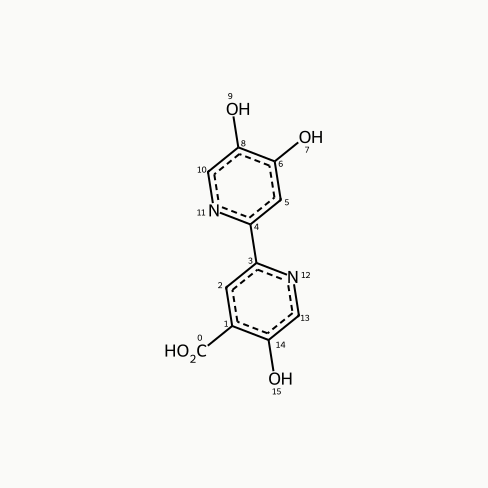 O=C(O)c1cc(-c2cc(O)c(O)cn2)ncc1O